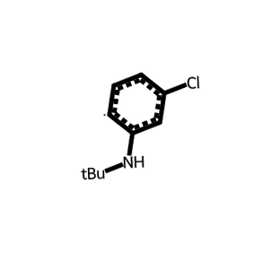 CC(C)(C)Nc1[c]ccc(Cl)c1